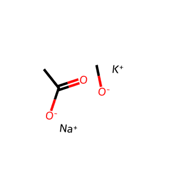 CC(=O)[O-].C[O-].[K+].[Na+]